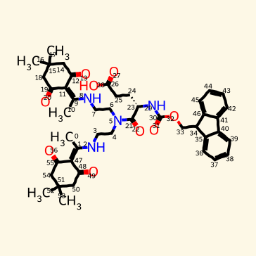 CC(NCCN(CCNC(C)=C1C(=O)CC(C)(C)CC1=O)C(=O)[C@H](CCC(=O)O)NC(=O)OCC1c2ccccc2-c2ccccc21)=C1C(=O)CC(C)(C)CC1=O